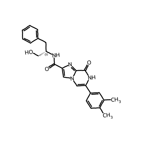 Cc1ccc(-c2cn3cc(C(=O)N[C@H](CO)Cc4ccccc4)nc3c(=O)[nH]2)cc1C